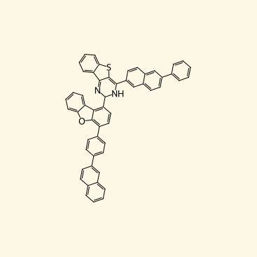 c1ccc(-c2ccc3cc(C4=c5sc6ccccc6c5=NC(c5ccc(-c6ccc(-c7ccc8ccccc8c7)cc6)c6oc7ccccc7c56)N4)ccc3c2)cc1